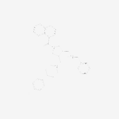 O=C(c1cccc2ccccc12)N1CC(CNCc2ccccc2)C(CN2CCC(c3ccc(F)cc3)CC2)C1